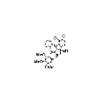 CCCC1(c2ccc(Cl)c(Cl)c2)CN(Cc2cc(OC)c(OC)c(OC)c2)C(=O)C1OC1CCCCO1